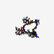 CCc1cc2n(c1C(=O)OC)CCCOc1cc(cc3ccccc13)SCc1cc(nn1C)CSCc1nn(C)c(C)c1/C=C(Cl)/C=C\2